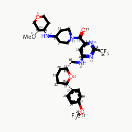 CO[C@@H]1COCC[C@@H]1NC1CCN(C(=O)c2cc(NC[C@H]3CCC[C@@H](c4ccc(OC(F)(F)F)cc4)O3)nc(C(F)(F)F)n2)CC1